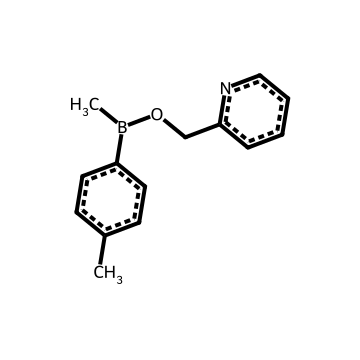 CB(OCc1ccccn1)c1ccc(C)cc1